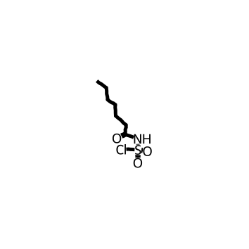 CCCCCCC(=O)NS(=O)(=O)Cl